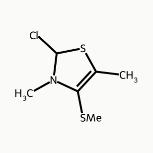 CSC1=C(C)SC(Cl)N1C